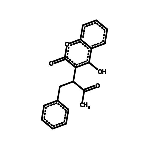 CC(=O)C(Cc1ccccc1)c1c(O)c2ccccc2oc1=O